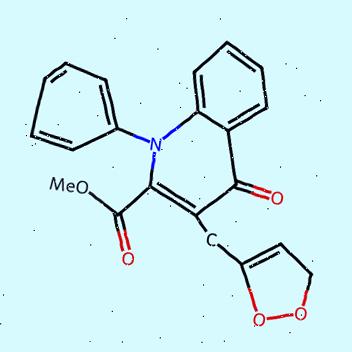 COC(=O)c1c(CC2=CCOO2)c(=O)c2ccccc2n1-c1ccccc1